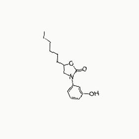 CCCCCCC1CN(c2cccc(O)c2)C(=O)O1